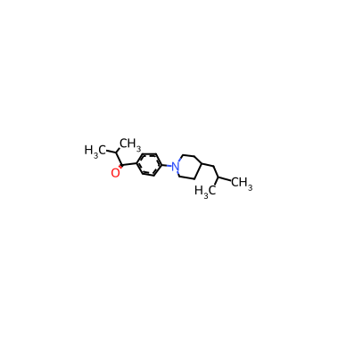 CC(C)CC1CCN(c2ccc(C(=O)C(C)C)cc2)CC1